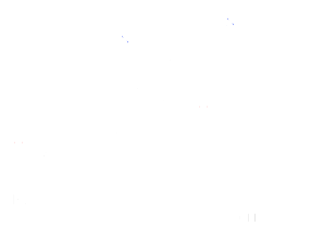 Cc1ccc(S(=O)(=O)OS(c2ccc(OCC(=O)OC(C)(C)C)cc2)(c2cccnc2)c2cccnc2)c(C)c1